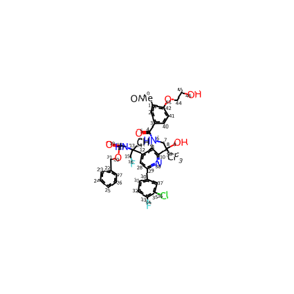 COc1cc(C(=O)NCC(O)(c2cc(C(C)(CF)NC(=O)OCc3ccccc3)cc(-c3ccc(F)c(Cl)c3)n2)C(F)(F)F)ccc1OCCO